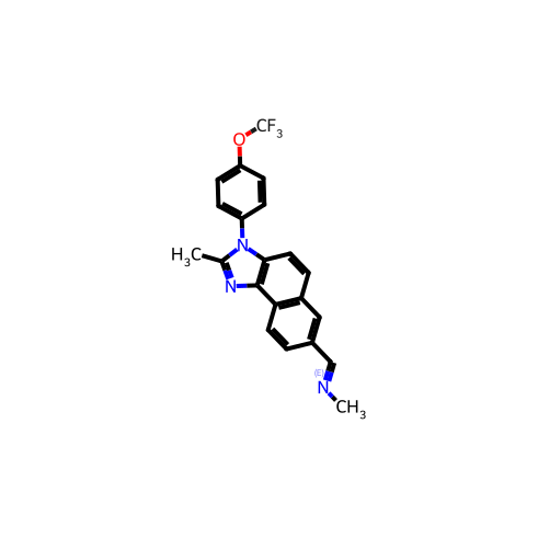 C/N=C/c1ccc2c(ccc3c2nc(C)n3-c2ccc(OC(F)(F)F)cc2)c1